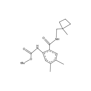 Cc1cc(NC(=O)OC(C)(C)C)c(C(=O)NCC2(C)CCC2)cc1C